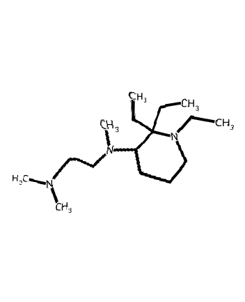 CCN1CCCC(N(C)CCN(C)C)C1(CC)CC